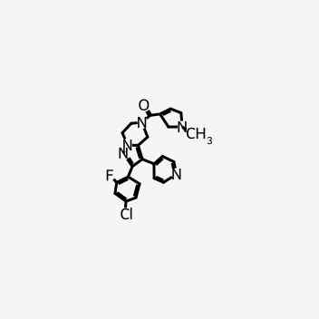 CN1CC=C(C(=O)N2CCn3nc(-c4ccc(Cl)cc4F)c(-c4ccncc4)c3C2)C1